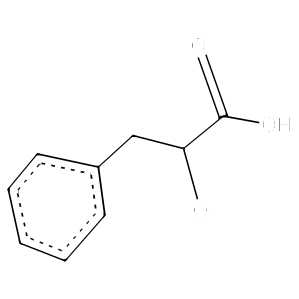 [O]C(Cc1ccccc1)C(=O)O